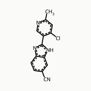 Cc1cc(Cl)c(-c2nc3ccc(C#N)cc3[nH]2)cn1